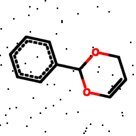 C1=COC(c2ccccc2)OC1